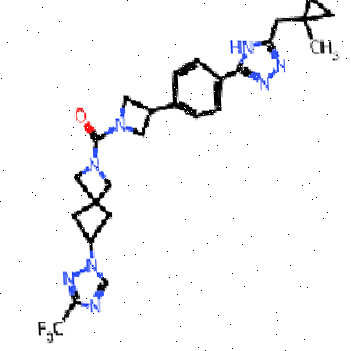 CC1(Cc2nnc(-c3ccc(C4CN(C(=O)N5CC6(CC(n7cnc(C(F)(F)F)n7)C6)C5)C4)cc3)[nH]2)CC1